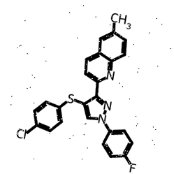 Cc1ccc2nc(-c3nn(-c4ccc(F)cc4)cc3Sc3ccc(Cl)cc3)ccc2c1